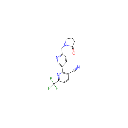 N#Cc1ccc(C(F)(F)F)nc1-c1ccc(CN2CCCC2=O)nc1